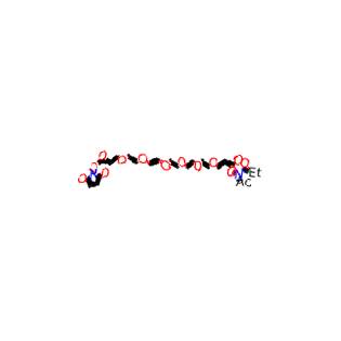 CCC(=O)N(OC(=O)CCOCCOCCOCCOCCOCCOCCC1OC1ON1C(=O)CCC1=O)C(C)=O